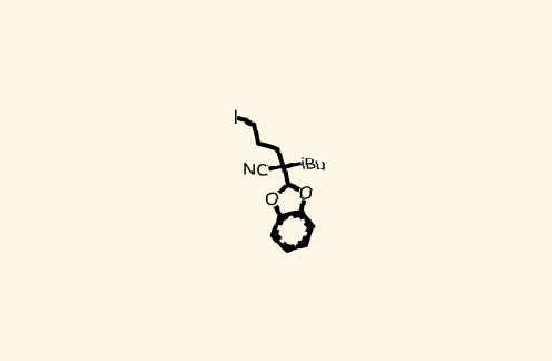 CCC(C)C(C#N)(CCCI)C1Oc2ccccc2O1